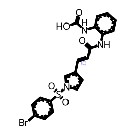 O=C(O)Nc1ccccc1NC(=O)/C=C/c1ccn(S(=O)(=O)c2ccc(Br)cc2)c1